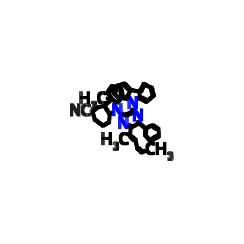 C/C=C\C=C(/C)c1nc(N2C3CCCC(C#N)CC3C3(C)C=CC=CC23)c(-n2c3ccccc3c3ccccc32)nc1-c1ccccc1